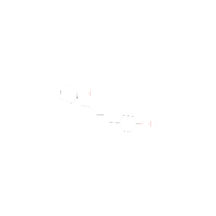 OC1CCC(CC[CH]CCC2(O)CCCCC2)CC1